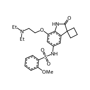 CCN(CC)CCOc1cc(NS(=O)(=O)c2ccccc2OC)cc2c1NC(=O)C21CCC1